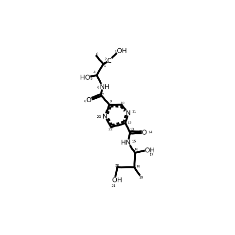 CC(CO)C(O)NC(=O)c1cnc(C(=O)NC(O)C(C)CO)cn1